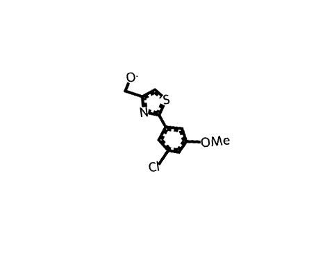 COc1cc(Cl)cc(-c2nc(C[O])cs2)c1